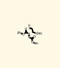 CC(C)OC(=O)N=NC(=O)OC(C)C.CCCCCCCCCCCCS